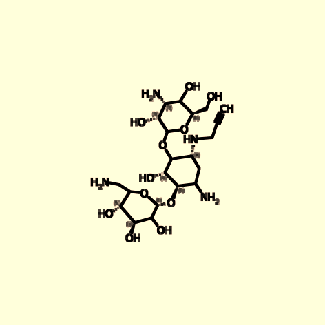 C#CCN[C@@H]1CC(N)[C@@H](O[C@H]2OC(CN)[C@@H](O)[C@H](O)C2O)[C@H](O)C1OC1O[C@H](CO)C(O)[C@@H](N)[C@H]1O